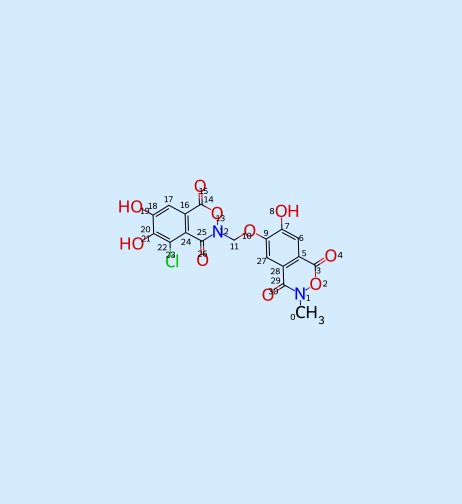 Cn1oc(=O)c2cc(O)c(OCn3oc(=O)c4cc(O)c(O)c(Cl)c4c3=O)cc2c1=O